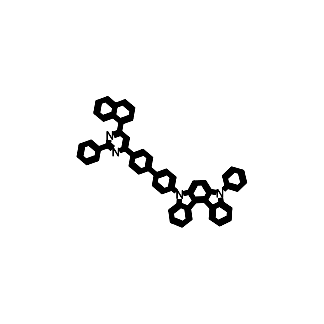 c1ccc(-c2nc(-c3ccc(-c4ccc(-n5c6ccccc6c6c7c8ccccc8n(-c8ccccc8)c7ccc65)cc4)cc3)cc(-c3cccc4ccccc34)n2)cc1